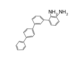 Nc1cccc(-c2cccc(-c3ccc(-c4ccccc4)cc3)c2)c1N